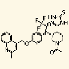 CC(=O)N1CCC(c2n[nH]c(=S)[nH]2)C(N(C(=O)C(F)(F)F)c2ccc(OCc3cc(C)nc4ccccc34)cc2)C1